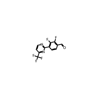 O=Cc1ccc(-c2nccc(C(F)(F)F)n2)c(F)c1F